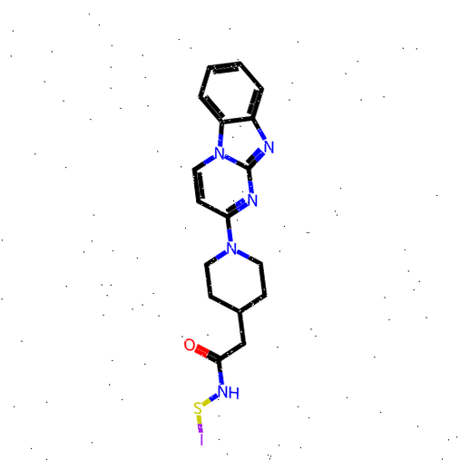 O=C(CC1CCN(c2ccn3c(n2)nc2ccccc23)CC1)NSI